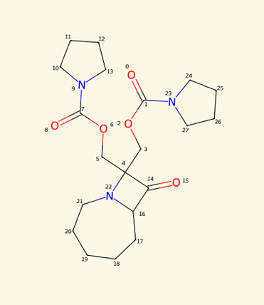 O=C(OCC1(COC(=O)N2CCCC2)C(=O)C2CCCCCN21)N1CCCC1